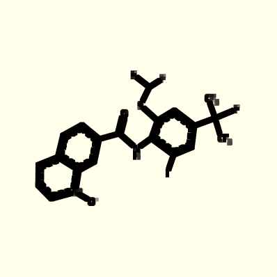 O=C(Nc1c(I)cc(C(F)(C(F)(F)F)C(F)(F)F)cc1SC(F)F)c1ccc2ccc[n+]([O-])c2c1